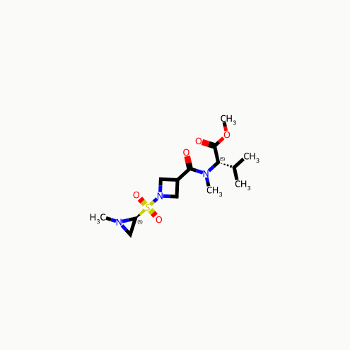 COC(=O)[C@H](C(C)C)N(C)C(=O)C1CN(S(=O)(=O)[C@H]2CN2C)C1